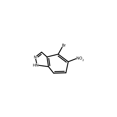 O=[N+]([O-])c1ccc2[nH]ncc2c1Br